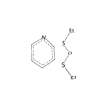 CCSOSCC.c1ccncc1